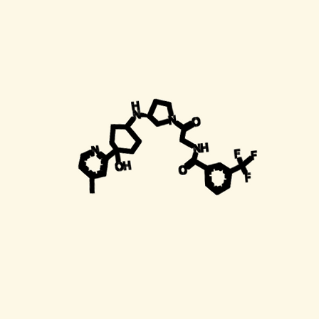 Cc1ccnc(C2(O)CCC(N[C@H]3CCN(C(=O)CNC(=O)c4cccc(C(F)(F)F)c4)C3)CC2)c1